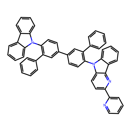 c1ccc(-c2cc(-c3ccc(-n4c5ccccc5c5nc(-c6ccccn6)ccc54)c(-c4ccccc4)c3)ccc2-n2c3ccccc3c3ccccc32)cc1